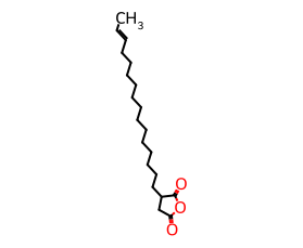 CC=CCCCCCCCCCCCCCC1CC(=O)OC1=O